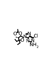 CCC1(CC)O[C@@H](n2cnc3c(Cl)nc(N)nc32)[C@H](OC(C)=O)[C@@H]1C